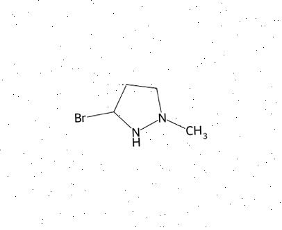 CN1C[CH]C(Br)N1